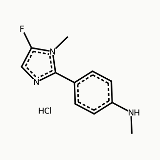 CNc1ccc(-c2ncc(F)n2C)cc1.Cl